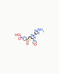 Nc1ncc(-c2nc(N3CCOCC3)c3sc(C4(O)CCN(C(=O)CO)CC4)cc3n2)cn1